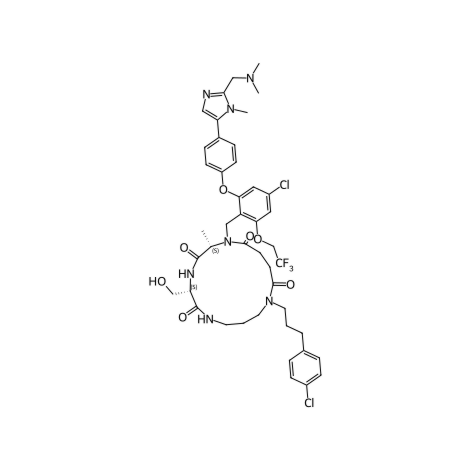 C[C@H]1C(=O)N[C@@H](CO)C(=O)NCCCN(CCCc2ccc(Cl)cc2)C(=O)CCC(=O)N1Cc1c(OCC(F)(F)F)cc(Cl)cc1Oc1ccc(-c2cnc(CN(C)C)n2C)cc1